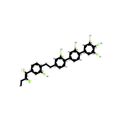 CC/C(F)=C(\F)c1ccc(CCc2ccc(-c3ccc(-c4cc(F)c(F)c(F)c4)c(F)c3)c(F)c2)c(F)c1